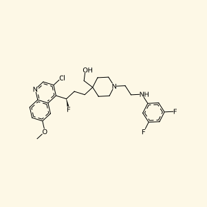 COc1ccc2ncc(Cl)c([C@H](F)CCC3(CO)CCN(CCNc4cc(F)cc(F)c4)CC3)c2c1